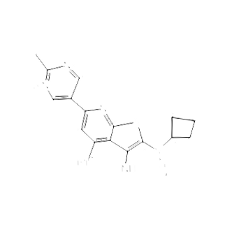 Cc1ncc(-c2cc(C(C)C)c3c(N)c([S@@+]([O-])C4CCC4)sc3n2)cn1